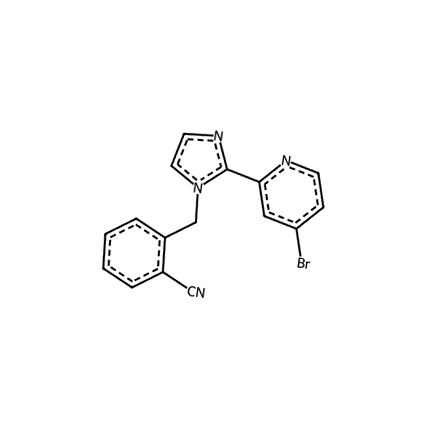 N#Cc1ccccc1Cn1ccnc1-c1cc(Br)ccn1